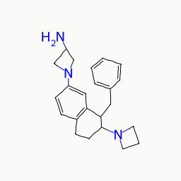 NC1CN(c2ccc3c(c2)C(Cc2ccccc2)C(N2CCC2)CC3)C1